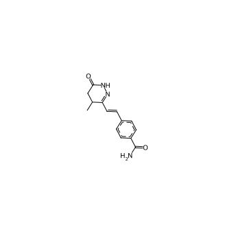 CC1CC(=O)NN=C1C=Cc1ccc(C(N)=O)cc1